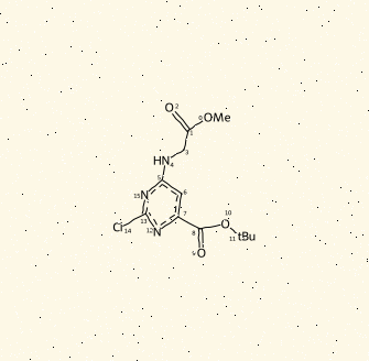 COC(=O)CNc1cc(C(=O)OC(C)(C)C)nc(Cl)n1